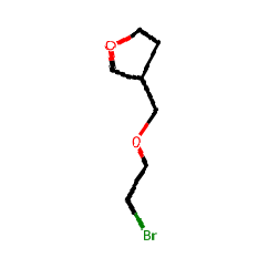 BrCCOCC1CCOC1